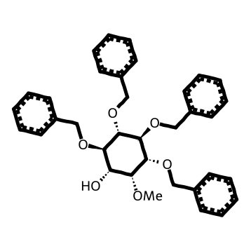 CO[C@@H]1[C@H](O)[C@@H](OCc2ccccc2)[C@H](OCc2ccccc2)[C@@H](OCc2ccccc2)[C@@H]1OCc1ccccc1